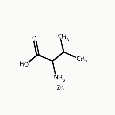 CC(C)C(N)C(=O)O.[Zn]